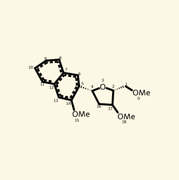 COC[C@H]1O[C@@H](c2cc3ccccc3cc2OC)CC1OC